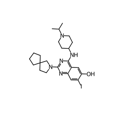 CC(C)N1CCC(Nc2nc(N3CCC4(CCCC4)C3)nc3cc(I)c(O)cc23)CC1